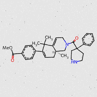 COC(=O)c1ccc(C2=CC[C@]3(C)CN(C(=O)C4(c5ccccc5)CCNCC4)CC=C3C2(C)C)cc1